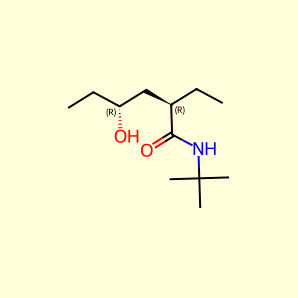 CC[C@@H](O)C[C@@H](CC)C(=O)NC(C)(C)C